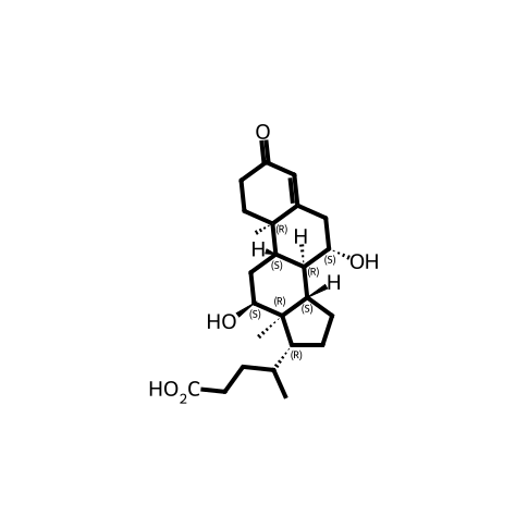 CC(CCC(=O)O)[C@H]1CC[C@H]2[C@@H]3[C@@H](O)CC4=CC(=O)CC[C@]4(C)[C@H]3C[C@H](O)[C@]12C